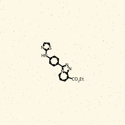 CCOC(=O)c1cccn2c(-c3ccc(Nc4nccs4)cc3)nnc12